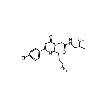 CC(O)CNC(=O)Cn1c(CCCC(F)(F)F)nc(-c2ccc(Cl)cc2)cc1=O